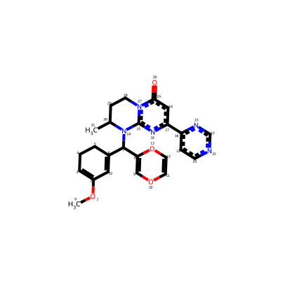 COC1=CCCC(C(C2=COC=CO2)N2c3nc(-c4ccncn4)cc(=O)n3CCC2C)=C1